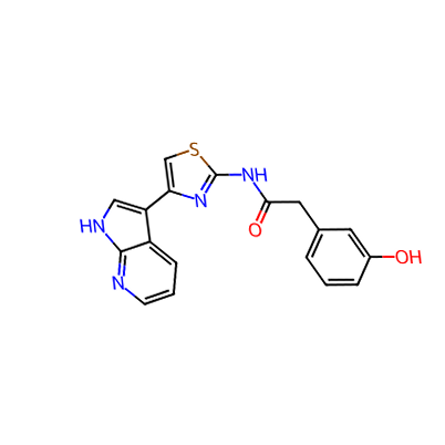 O=C(Cc1cccc(O)c1)Nc1nc(-c2c[nH]c3ncccc23)cs1